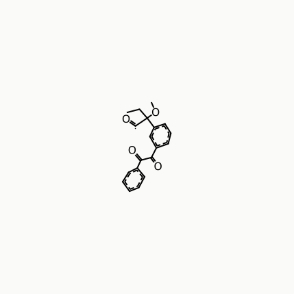 CCC([C]=O)(OC)c1cccc(C(=O)C(=O)c2ccccc2)c1